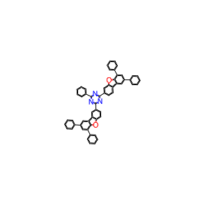 c1ccc(-c2cc(-c3ccccc3)c3oc4cc(-c5nc(-c6ccccc6)nc(-c6ccc7oc8c(-c9ccccc9)cc(-c9ccccc9)cc8c7c6)n5)ccc4c3c2)cc1